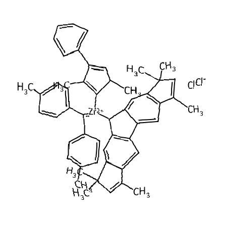 CC1=CC(C)(C)c2cc3c(cc21)-c1cc2c(cc1[CH]3[Zr+2]([C]1=C(C)C(c3ccccc3)=CC1C)=[C](c1ccc(C)cc1)c1ccc(C)cc1)C(C)(C)C=C2C.[Cl-].[Cl-]